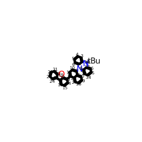 CC(C)(C)N1c2ccccc2N(c2ccc(-c3cccc4c3oc3ccccc34)c3ccccc23)c2ccccc21